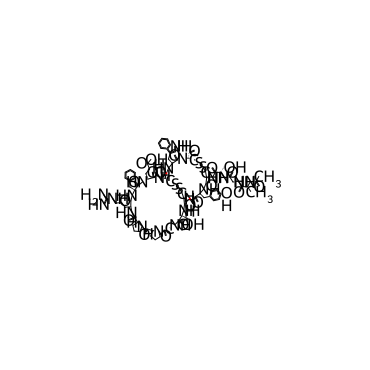 CC(=O)N[C@@H](C)C(=O)NCC(=O)N[C@@H](CO)C(=O)N[C@H]1CSSC[C@@H](C=O)NC(=O)[C@H](Cc2c[nH]c3ccccc23)NC(=O)[C@@H]2CSSC[C@H](NC(=O)[C@H](Cc3ccc(O)cc3)NC1=O)C(=O)N[C@@H](CO)C(=O)NCC(=O)N1CCC[C@H]1C(=O)N1CCC[C@H]1C(=O)N[C@@H](CCCNC(=N)N)C(=O)N[C@@H](Cc1ccccc1)C(=O)N[C@@H](CCC(=O)O)C(=O)N2